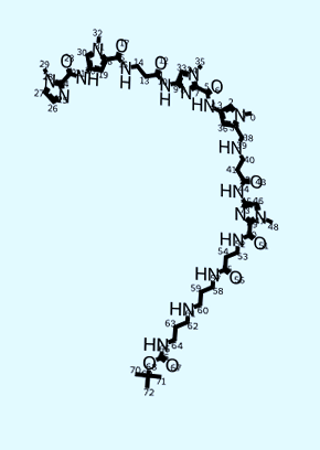 Cn1cc(NC(=O)c2nc(NC(=O)CCNC(=O)c3cc(NC(=O)c4nccn4C)cn3C)cn2C)cc1CNCCC(=O)Nc1cn(C)c(C(=O)NCCC(=O)NCCCNCCCNC(=O)OC(C)(C)C)n1